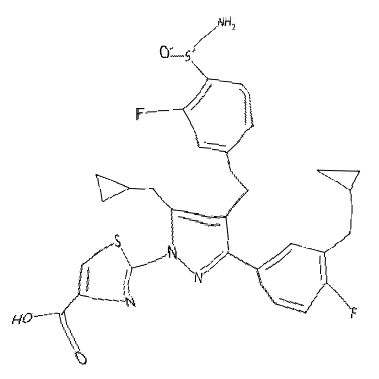 N[S+]([O-])c1ccc(Cc2c(-c3ccc(F)c(CC4CC4)c3)nn(-c3nc(C(=O)O)cs3)c2CC2CC2)cc1F